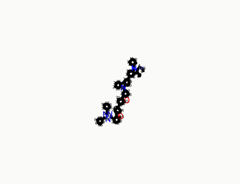 C=Cc1c(/C=C\C)n(-c2ccccc2)c2ccc(-c3ccc4c(c3)c3ccccc3n4-c3ccc4oc5cc(-c6ccc7c(c6)oc6cccc(-c8nc(-c9ccccc9)nc(-c9ccccc9)n8)c67)ccc5c4c3)cc12